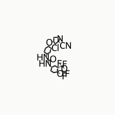 N#Cc1cc(Oc2ccc(NC(=O)Nc3ccc4c(c3)C(F)(F)OC(F)(F)O4)cc2Cl)ccn1